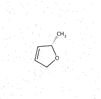 C[C@H]1C=CCO1